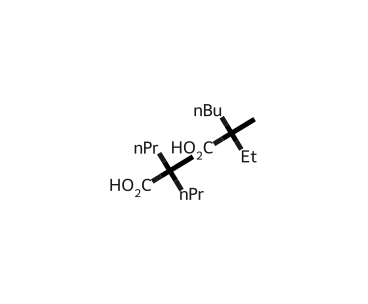 CCCC(C)(CCC)C(=O)O.CCCCC(C)(CC)C(=O)O